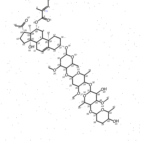 C/C=C(\C)C(=O)O[C@@H]1CC2C(CC=C3C[C@@H](OC4CC(OC)C(OC5CC(OC)C(OC6OC(C)C(OC7CCC(O)C(C)O7)C(OC)C6O)C(C)O5)C(C)O4)CC[C@@]32C)[C@@]2(O)CC[C@H](C(C)=O)[C@@]12C